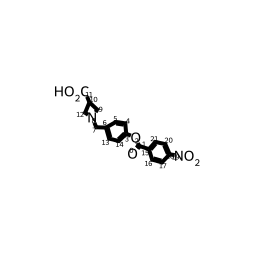 O=C(Oc1ccc(CN2CC(C(=O)O)C2)cc1)c1ccc([N+](=O)[O-])cc1